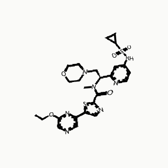 CCOc1cncc(-c2cnc(C(=O)N(C)[C@@H](CN3CCOCC3)c3cc(NS(=O)(=O)C4CC4)ccn3)s2)n1